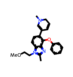 COCCn1c(C)nc2c(Oc3ccccc3)c(C3=CN(C)CC=C3)ccc21